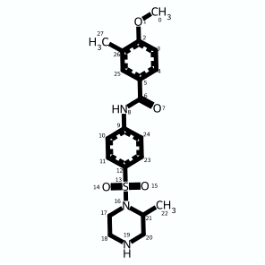 COc1ccc(C(=O)Nc2ccc(S(=O)(=O)N3CCNCC3C)cc2)cc1C